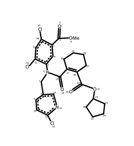 COC(=O)c1cc(N(Cc2ccc(Cl)nc2)C(=O)C2=C(C(=O)OC3CCCC3)CCCC2)c(Cl)cc1Cl